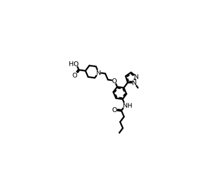 CCCCC(=O)Nc1ccc(OCCN2CCC(C(=O)O)CC2)c(-c2ccnn2C)c1